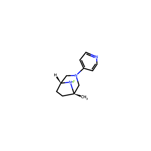 C[C@]12CC[C@H](CN(c3ccncc3)C1)N2F